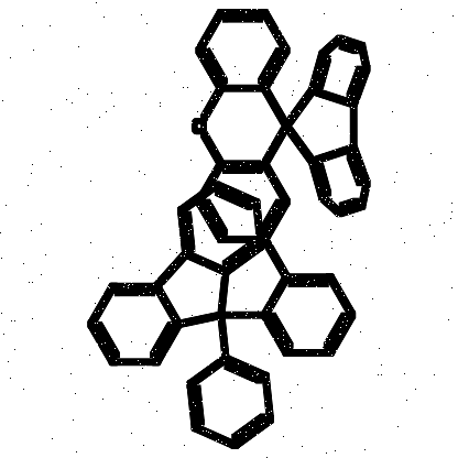 c1ccc(C2(c3ccccc3-c3ccc4c(c3)C3(c5ccccc5O4)c4ccccc4-c4ccccc43)c3ccccc3-c3ccccc32)cc1